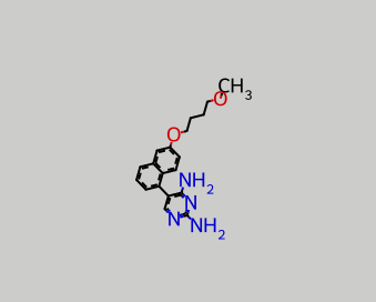 COCCCCOc1ccc2c(-c3cnc(N)nc3N)cccc2c1